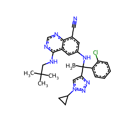 BC(Nc1cc(C#N)c2ncnc(NCC(C)(C)C)c2c1)(c1cn(C2CC2)nn1)c1ccccc1Cl